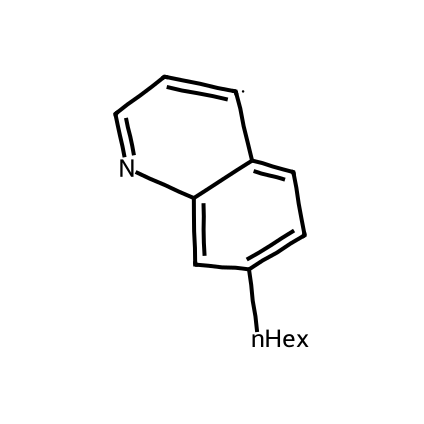 CCCCCCc1ccc2[c]ccnc2c1